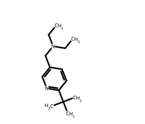 CCN(CC)Cc1ccc(C(C)(C)C)nc1